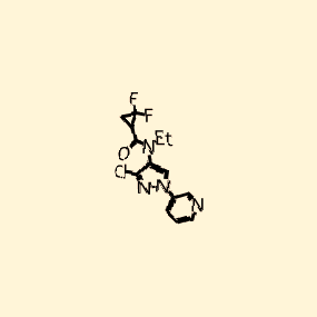 CCN(C(=O)C1CC1(F)F)c1cn(-c2cccnc2)nc1Cl